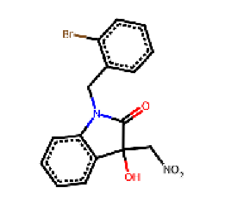 O=C1N(Cc2ccccc2Br)c2ccccc2C1(O)C[N+](=O)[O-]